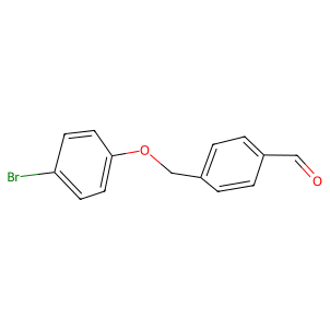 O=Cc1ccc(COc2ccc(Br)cc2)cc1